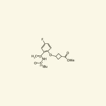 COC(=O)C1CC(Oc2ccc(F)cc2[C@H](C)N[S@+]([O-])C(C)(C)C)C1